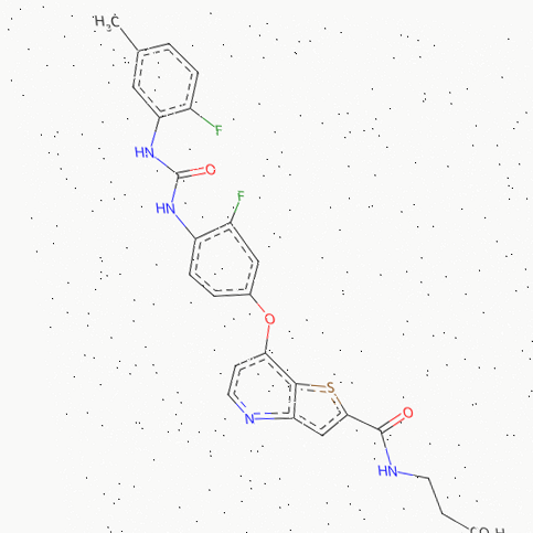 Cc1ccc(F)c(NC(=O)Nc2ccc(Oc3ccnc4cc(C(=O)NCCC(=O)O)sc34)cc2F)c1